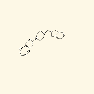 C1=COc2cc(N3CCN(CC4Cc5ccccc5C4)CC3)ccc2OC1